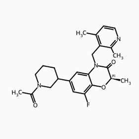 CC(=O)N1CCCC(c2cc(F)c3c(c2)N(Cc2c(C)ccnc2C)C(=O)[C@@H](C)O3)C1